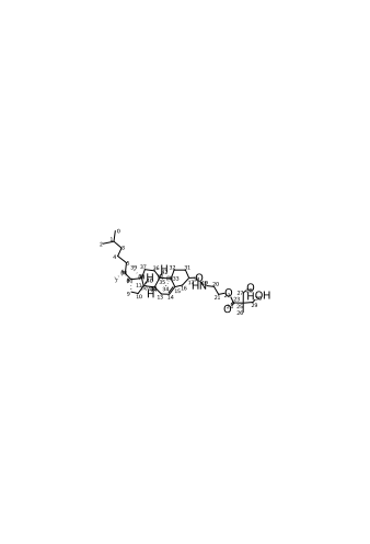 CC(C)CCC[C@@H](C)[C@H]1CC[C@H]2[C@@H]3CC=C4CC(ONCCOC(=O)C(C)(CO)CO)CC[C@]4(C)[C@H]3CC[C@]12C